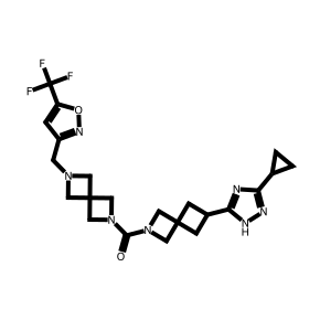 O=C(N1CC2(CC(c3nc(C4CC4)n[nH]3)C2)C1)N1CC2(CN(Cc3cc(C(F)(F)F)on3)C2)C1